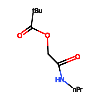 CCCNC(=O)COC(=O)C(C)(C)C